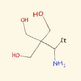 CCC(N)C(CO)(CO)CO